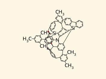 Cc1cc(C)c(-c2cc3c4c(c2)[Si]25c6ccccc6-c6cc(ccc62)-c2cc(C)cc6c2-c2cc5c5c(c2)[Si]2(c7ccccc7-c7cc-6ccc72)c2cc6cc(c2N45)C32c3ccccc3-c3cc(ccc32)-c2cc(C)cc(C)c2-6)c(C)c1